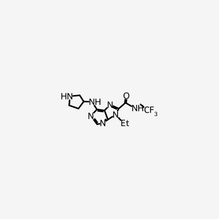 CCn1c(C(=O)NCC(F)(F)F)nc2c(NC3CCNC3)ncnc21